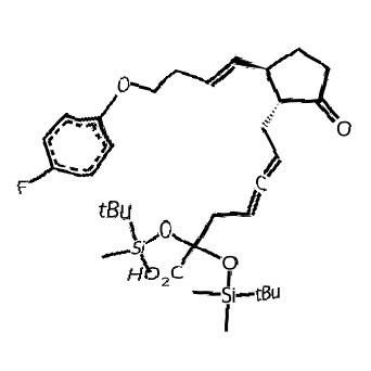 CC(C)(C)[Si](C)(C)OC(CC=C=CC[C@H]1C(=O)CC[C@@H]1/C=C/CCOc1ccc(F)cc1)(O[Si](C)(C)C(C)(C)C)C(=O)O